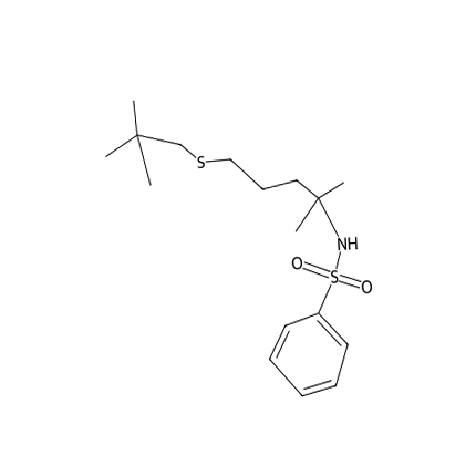 CC(C)(C)CSCCCC(C)(C)NS(=O)(=O)c1ccccc1